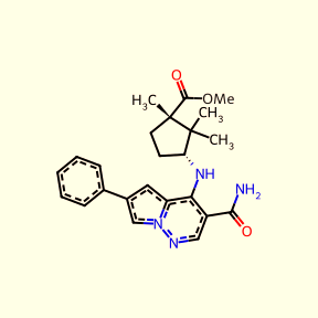 COC(=O)[C@@]1(C)CC[C@@H](Nc2c(C(N)=O)cnn3cc(-c4ccccc4)cc23)C1(C)C